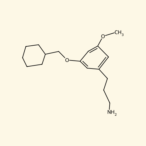 COc1cc(CCCN)cc(OCC2CCCCC2)c1